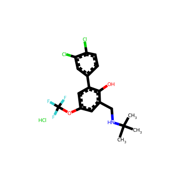 CC(C)(C)NCc1cc(OC(F)(F)F)cc(-c2ccc(Cl)c(Cl)c2)c1O.Cl